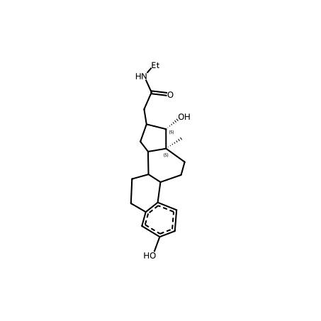 CCNC(=O)CC1CC2C3CCc4cc(O)ccc4C3CC[C@]2(C)[C@H]1O